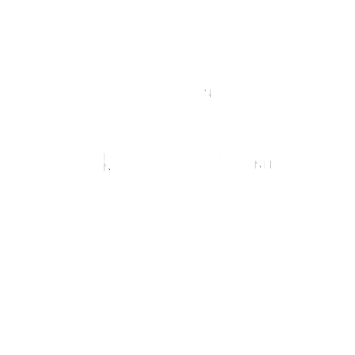 CNCCC(c1ccccc1)c1cc(Cl)c2c(c1)C(C#N)CN2